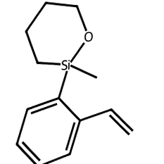 C=Cc1ccccc1[Si]1(C)CCCCO1